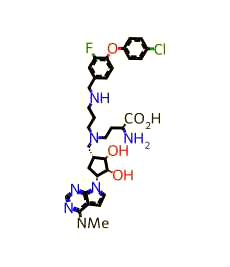 CNc1ncnc2c1ccn2[C@@H]1C[C@H](CN(CCCNCc2ccc(Oc3ccc(Cl)cc3)c(F)c2)CC[C@H](N)C(=O)O)[C@@H](O)[C@H]1O